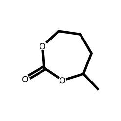 CC1CCCOC(=O)O1